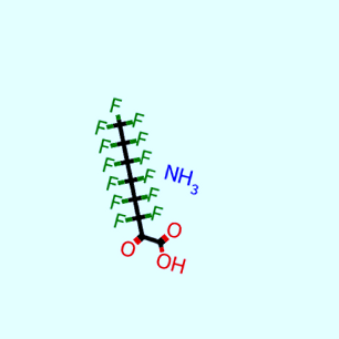 N.O=C(O)C(=O)C(F)(F)C(F)(F)C(F)(F)C(F)(F)C(F)(F)C(F)(F)F